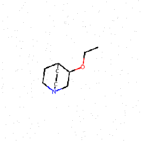 CCOC1CN2CCC1CC2